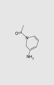 CC(=O)N1C=CC=C(N)C1